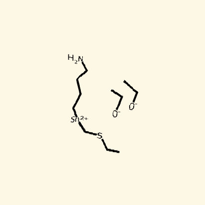 CCS[CH2][Sn+2][CH2]CCCN.CC[O-].CC[O-]